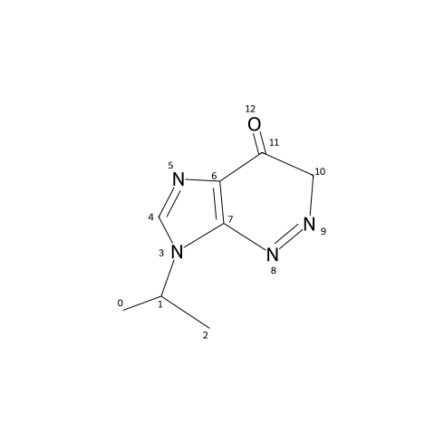 CC(C)n1cnc2c1N=NCC2=O